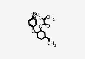 C=CC1CCC(Oc2ccc(C(C)(C)C)cc2)C(OC(=O)C(=C)C)C1